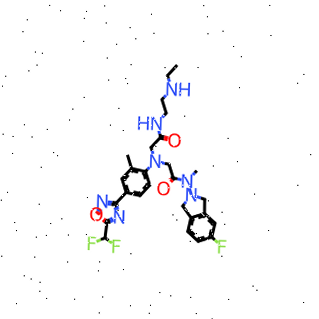 CCNCCNC(=O)CN(CC(=O)N(C)N1Cc2ccc(F)cc2C1)c1ccc(-c2noc(C(F)F)n2)cc1C